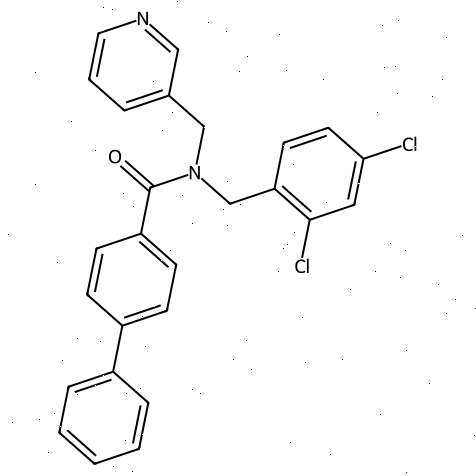 O=C(c1ccc(-c2ccccc2)cc1)N(Cc1cccnc1)Cc1ccc(Cl)cc1Cl